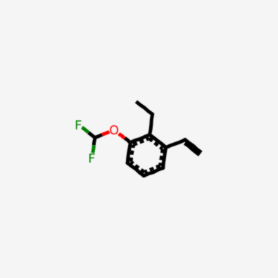 C=Cc1cccc(OC(F)F)c1CC